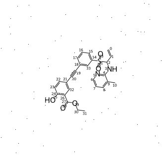 C=CC(Nc1ncccc1C)S(=O)(=O)c1cccc(C#Cc2ccc(O)c(C(=O)OCC)c2)c1